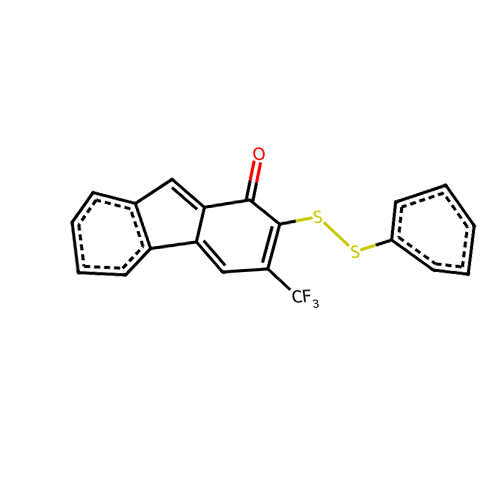 O=C1C2=Cc3ccccc3C2=CC(C(F)(F)F)=C1SSc1ccccc1